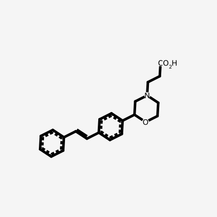 O=C(O)CCN1CCOC(c2ccc(C=Cc3ccccc3)cc2)C1